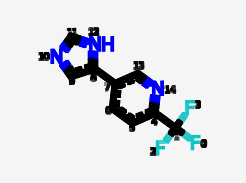 FC(F)(F)c1ccc(-c2cnc[nH]2)cn1